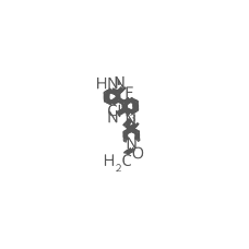 C=CC(=O)N1CCC2(CC1)CN(c1ccc(F)c(-c3c(C)ccc4[nH]ncc34)c1C#N)C2